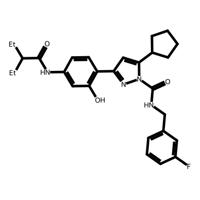 CCC(CC)C(=O)Nc1ccc(-c2cc(C3CCCC3)n(C(=O)NCc3cccc(F)c3)n2)c(O)c1